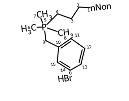 Br.CCCCCCCCCCCCP(C)(C)(C)Cc1ccccc1